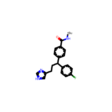 CC(C)(C)NC(=O)c1ccc(C(CCc2c[nH]cn2)c2ccc(F)cc2)cc1